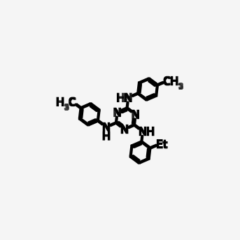 CCc1ccccc1Nc1nc(Nc2ccc(C)cc2)nc(Nc2ccc(C)cc2)n1